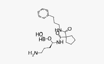 NCCC[C@H](NC(=O)C1(C(=O)NCCCc2ccccc2)CCCC1)OBO